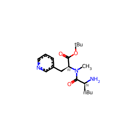 CCCC[C@H](N)C(=O)N(C)[C@@H](Cc1cccnc1)C(=O)OC(C)(C)C